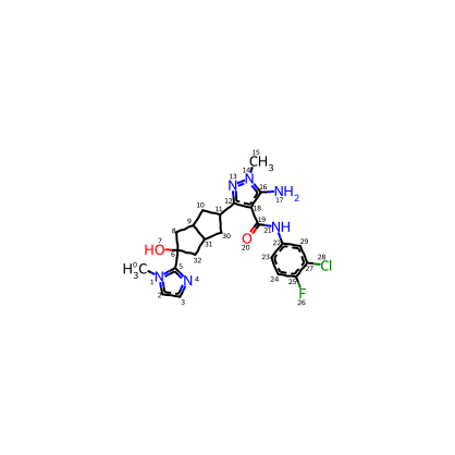 Cn1ccnc1C1(O)CC2CC(c3nn(C)c(N)c3C(=O)Nc3ccc(F)c(Cl)c3)CC2C1